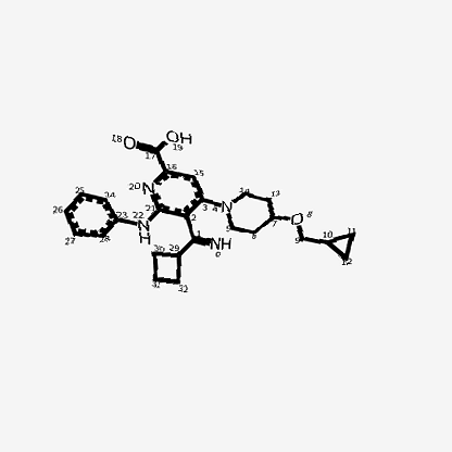 N=C(c1c(N2CCC(OCC3CC3)CC2)cc(C(=O)O)nc1Nc1ccccc1)C1CCC1